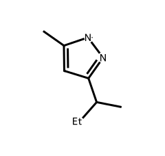 CCC(C)C1=N[N]C(C)=C1